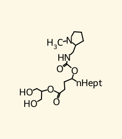 CCCCCCCC(CCC(=O)OC(CO)CO)OC(=O)NCC1CCCN1C